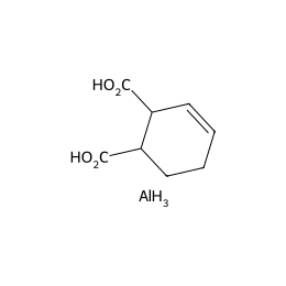 O=C(O)C1C=CCCC1C(=O)O.[AlH3]